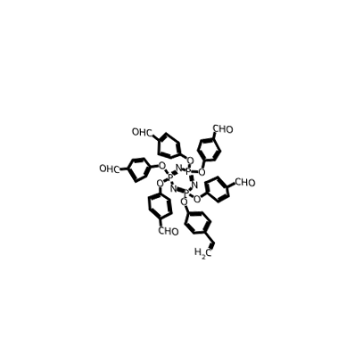 C=Cc1ccc(OP2(Oc3ccc(C=O)cc3)=NP(Oc3ccc(C=O)cc3)(Oc3ccc(C=O)cc3)=NP(Oc3ccc(C=O)cc3)(Oc3ccc(C=O)cc3)=N2)cc1